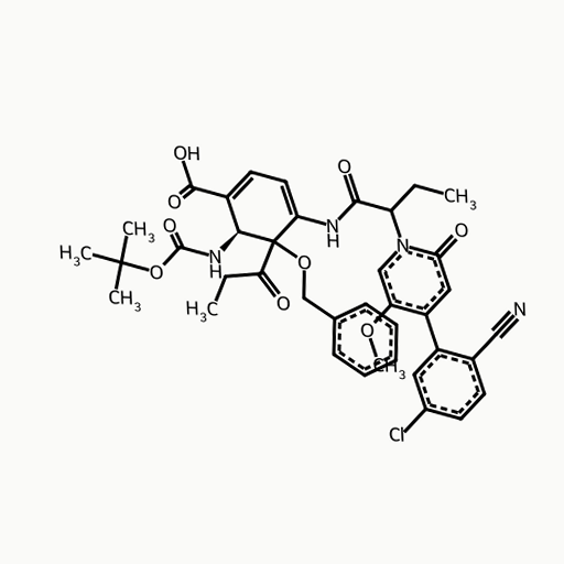 CCC(=O)C1(OCc2ccccc2)C(NC(=O)C(CC)n2cc(OC)c(-c3cc(Cl)ccc3C#N)cc2=O)=CC=C(C(=O)O)[C@@H]1NC(=O)OC(C)(C)C